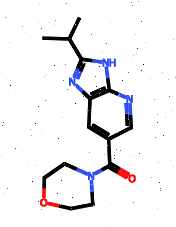 CC(C)c1nc2cc(C(=O)N3CCOCC3)cnc2[nH]1